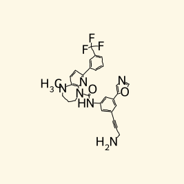 CN1CCCN(C(=O)Nc2cc(C#CCN)cc(-c3cnco3)c2)c2nc(-c3cccc(C(F)(F)F)c3)ccc21